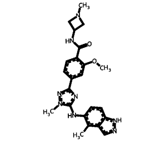 COc1cc(-c2nc(Nc3ccc4[nH]ncc4c3C)n(C)n2)ccc1C(=O)NC1CN(C)C1